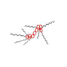 CCCCCCCCCCOC(CCCCCC)(OCCCCCCCCCC)OC(CCCCCCCC)OCOCOC(CCCCCCCC)OC(CCCCCC)(OCCCCCCCCCC)OCCCCCCCCCC